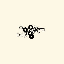 CCOC(=O)C1c2ccccc2C(=O)N([C@H]2CCCC[C@@H]2N(N)S(=O)(=O)CCCCl)[C@H]1c1ccc(Cl)cc1Cl